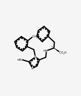 CCCCc1ncc(CN[C@@H](Cc2ccccc2)C(=O)O)n1Cc1ccccc1C